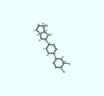 Cc1ccc(-c2ccc(-c3cn4cc[nH]c4n3)cc2)cc1C